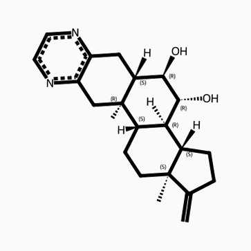 C=C1CC[C@H]2[C@@H]3[C@@H](O)[C@H](O)[C@H]4Cc5nccnc5C[C@]4(C)[C@H]3CC[C@]12C